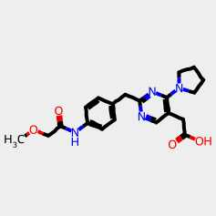 COCC(=O)Nc1ccc(Cc2ncc(CC(=O)O)c(N3CCCC3)n2)cc1